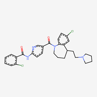 O=C(Nc1ccc(C(=O)N2CCCC(CCN3CCCC3)c3cc(Cl)ccc32)cn1)c1ccccc1Cl